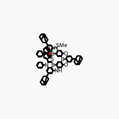 CSN1c2cc3c(cc2B2c4sc5ccccc5c4N(c4ccccc4)c4cc(C56CC7CC(CC(C7)C5)C6)cc1c42)B1c2cc4c(cc2Oc2cc(C56CC7CC(CC(C7)C5)C6)cc(c21)O3)Nc1cc(C23CC5CC(CC(C5)C2)C3)cc2c1B4c1sc3ccccc3c1N2c1ccccc1